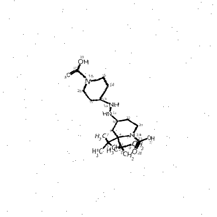 CC(C)(C)C1(C(C)(C)C)CC(NNC2CCN(C(=O)O)CC2)CCN1C(=O)O